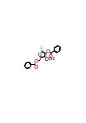 CC(=O)O[C@H]1[C@@H](OC(=O)c2ccccc2)[C@@H](F)O[C@@H]1COC(=O)c1ccccc1